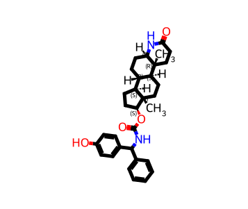 C[C@]12CCC(=O)N[C@@H]1CC[C@@H]1[C@@H]2CC[C@]2(C)[C@@H](OC(=O)NC(c3ccccc3)c3ccc(O)cc3)CC[C@@H]12